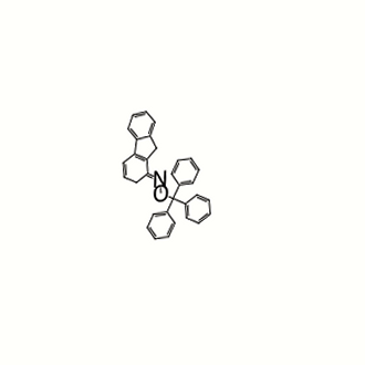 C1=CC2=C(Cc3ccccc32)C(=NOC(c2ccccc2)(c2ccccc2)c2ccccc2)C1